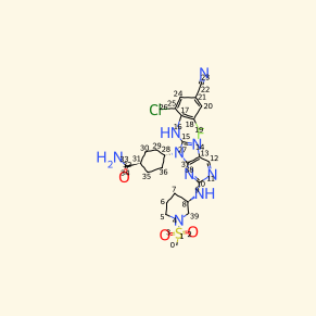 CS(=O)(=O)N1CCC[C@@H](Nc2ncc3nc(Nc4c(F)cc(C#N)cc4Cl)n([C@H]4CC[C@H](C(N)=O)CC4)c3n2)C1